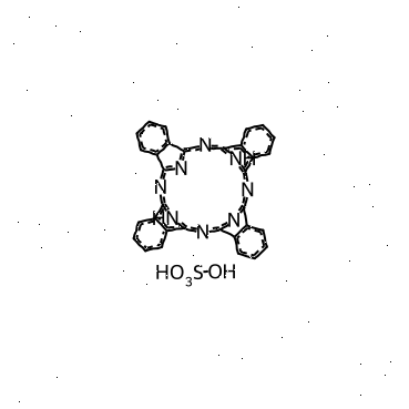 O=S(=O)(O)O.c1ccc2c(c1)-c1nc-2nc2[nH]c(nc3nc(nc4[nH]c(n1)c1ccccc41)-c1ccccc1-3)c1ccccc21